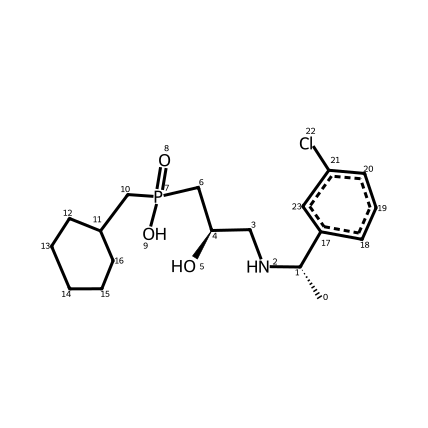 C[C@H](NC[C@@H](O)CP(=O)(O)CC1CCCCC1)c1cccc(Cl)c1